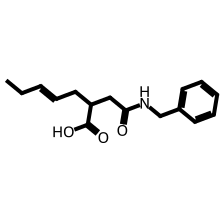 CC/C=C/CC(CC(=O)NCc1ccccc1)C(=O)O